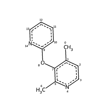 Cc1ccnc(C)c1Oc1cc[c]cn1